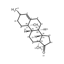 CC1C=C2CC[C@@H]3[C@H](CC[C@]4(C)C(=O)CC[C@@H]34)[C@@]2(C)CC1